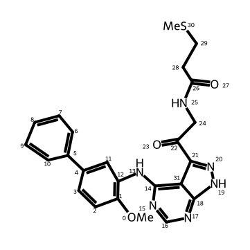 COc1ccc(-c2ccccc2)cc1Nc1ncnc2[nH]nc(C(=O)CNC(=O)CCSC)c12